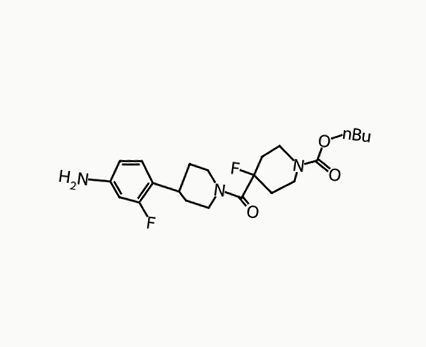 CCCCOC(=O)N1CCC(F)(C(=O)N2CCC(c3ccc(N)cc3F)CC2)CC1